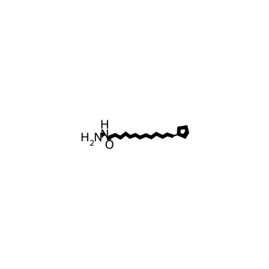 NNC(=O)CCCCCCCCCCCC[C@@H]1C=CCC1